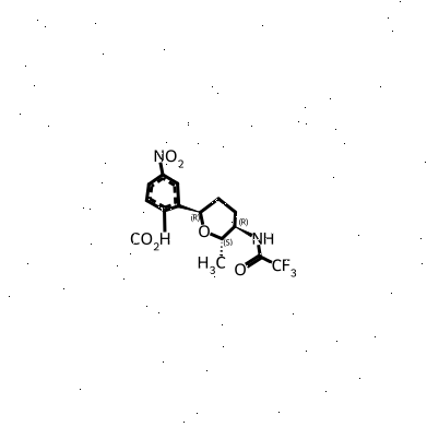 C[C@@H]1O[C@@H](c2cc([N+](=O)[O-])ccc2C(=O)O)CC[C@H]1NC(=O)C(F)(F)F